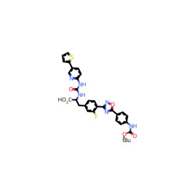 CC(C)(C)OC(=O)Nc1ccc(-c2nc(-c3ccc(CC(NC(=O)Nc4ccc(-c5cccs5)cn4)C(=O)O)cc3F)no2)cc1